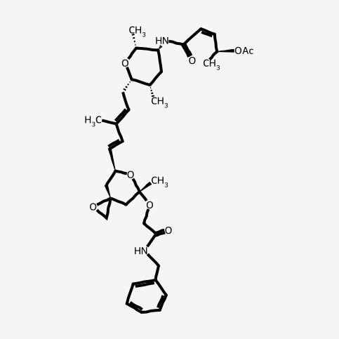 CC(=O)O[C@@H](C)/C=C\C(=O)N[C@@H]1C[C@H](C)[C@H](C/C=C(C)/C=C/[C@@H]2C[C@]3(CO3)C[C@@](C)(OCC(=O)NCc3ccccc3)O2)O[C@@H]1C